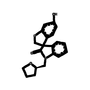 O=C1N(C[C@H]2CCCO2)c2ccccc2C12COc1cc(O)ccc12